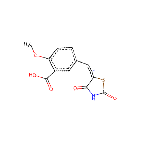 COc1ccc(/C=C2/SC(=O)NC2=O)cc1C(=O)O